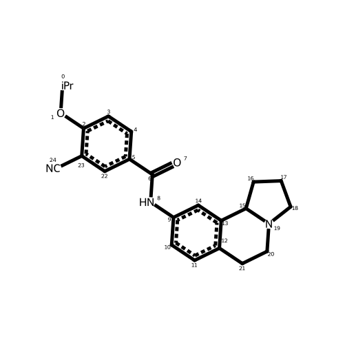 CC(C)Oc1ccc(C(=O)Nc2ccc3c(c2)C2CCCN2CC3)cc1C#N